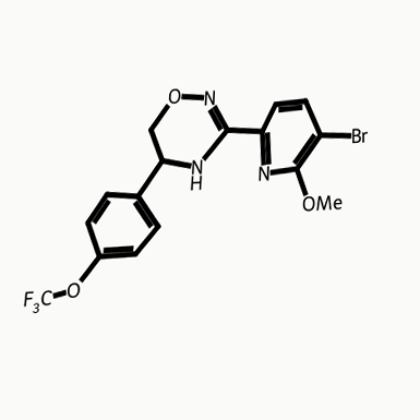 COc1nc(C2=NOCC(c3ccc(OC(F)(F)F)cc3)N2)ccc1Br